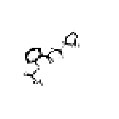 CC(=O)Oc1ccccc1C(=O)OC(=O)[C@@H]1CCCN1